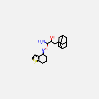 NC(ON=C1CCCc2sccc21)C(O)CC12CC3CC(CC(C3)C1)C2